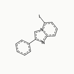 Ic1cccc2nc(-c3ccccc3)cn12